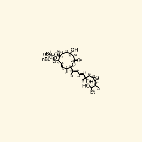 CCC[CH2][Sn]1([CH2]CCC)[O]C2/C=C/C(C)C(/C(C)=C/C=C/C(C)(O)CC3OC3C(C)C(O)CC)OC(=O)CC(O)CCC2(C)[O]1